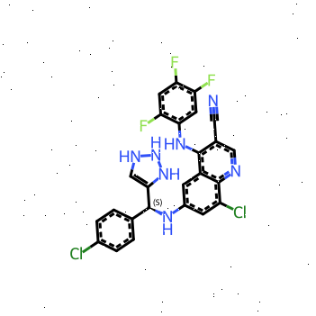 N#Cc1cnc2c(Cl)cc(N[C@H](C3=CNNN3)c3ccc(Cl)cc3)cc2c1Nc1cc(F)c(F)cc1F